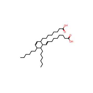 CCCCCCC1C=CC(CCCCCCCC(=O)O)C(/C=C/CCCCCCC(=O)O)C1CCCCCC